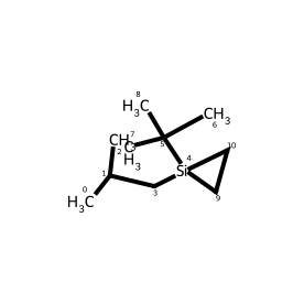 CC(C)C[Si]1(C(C)(C)C)CC1